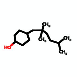 CC(C)CCC(C)(C)CC1CCC(O)CC1